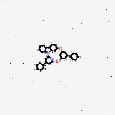 Brc1cc(Oc2ccc3c4ccccc4n(-c4cc(-c5ccccc5)ccn4)c3c2)cc(-c2ccccc2)c1